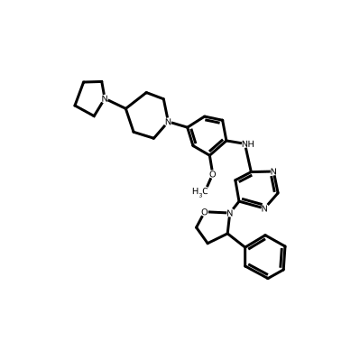 COc1cc(N2CCC(N3CCCC3)CC2)ccc1Nc1cc(N2OCCC2c2ccccc2)ncn1